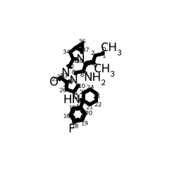 CCC/C(C)=C(/C(N)CN1C[C@@H](NC2(c3ccc(F)cc3)CCCCC2)CC1C=O)N1C(C#N)CC2CC21